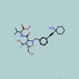 COC(=O)[C@@H](NC(=O)[C@@H]1[C@H]([C@H](C)O)[C@H](CO)ON1Cc1cccc(C#CC2(N)CCCCC2)c1)C(C)C